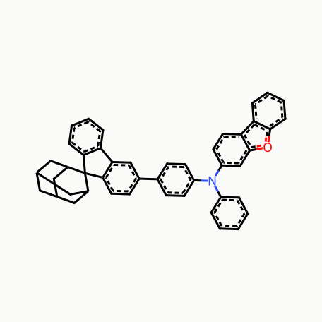 c1ccc(N(c2ccc(-c3ccc4c(c3)-c3ccccc3C43C4CC5CC(C4)CC3C5)cc2)c2ccc3c(c2)oc2ccccc23)cc1